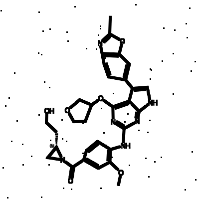 COc1cc(C(=O)N2C[C@@H]2CCO)ccc1Nc1nc(OC2CCOC2)c2c(-c3ccc4nc(C)oc4c3)c[nH]c2n1